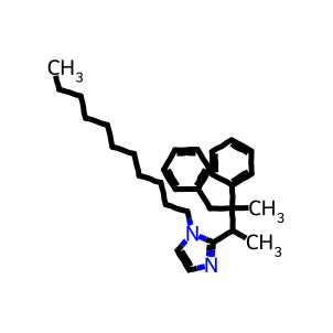 CCCCCCCCCCCn1ccnc1C(C)C(C)(Cc1ccccc1)c1ccccc1